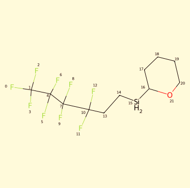 FC(F)(F)C(F)(F)C(F)(F)C(F)(F)CC[SiH2]C1CCCCO1